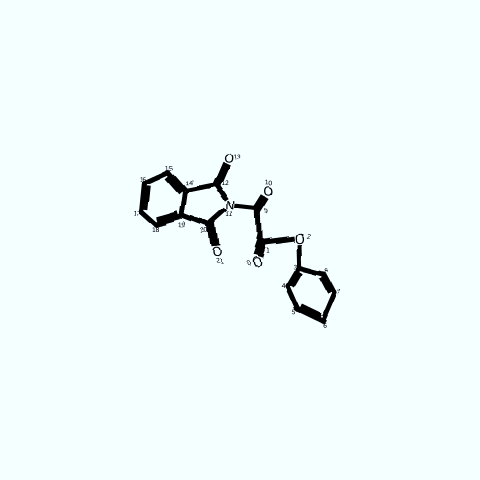 O=C(Oc1ccccc1)C(=O)N1C(=O)c2ccccc2C1=O